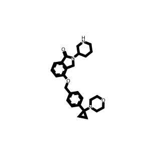 O=C1c2cccc(OCc3ccc(C4(N5CCOCC5)CC4)cc3)c2CN1C1CCCNC1